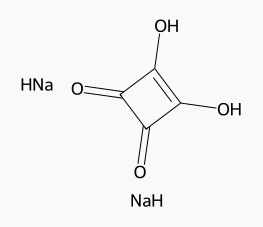 O=c1c(O)c(O)c1=O.[NaH].[NaH]